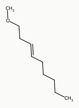 CCCCCC=CCCOC